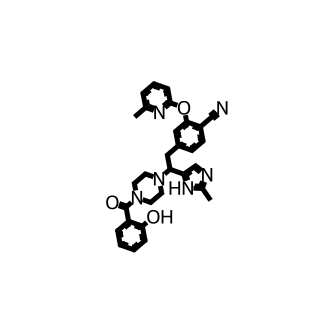 Cc1cccc(Oc2cc(CC(c3cnc(C)[nH]3)N3CCN(C(=O)c4ccccc4O)CC3)ccc2C#N)n1